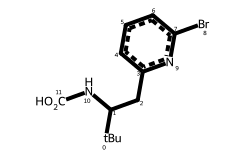 CC(C)(C)C(Cc1cccc(Br)n1)NC(=O)O